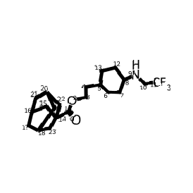 O=C(OCCC1CCC(NCC(F)(F)F)CC1)C12CC3CC(CC(C3)C1)C2